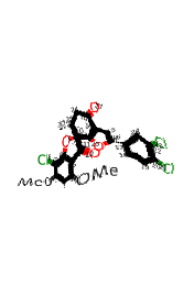 COc1cc(OC)c2c(c1Cl)O[C@]1(C2=O)C2=C(C[C@H](c3ccc(Cl)c(Cl)c3)O2)C(=O)C[C@H]1C